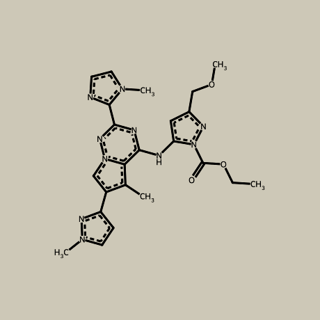 CCOC(=O)n1nc(COC)cc1Nc1nc(-c2nccn2C)nn2cc(-c3ccn(C)n3)c(C)c12